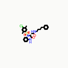 Cc1cc(S(=O)(=O)N2c3ccccc3NC(=O)[C@H]2CC(=O)NCCCCc2ccccc2)c(C)cc1Cl